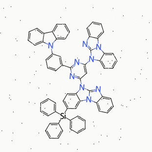 c1ccc([Si](c2ccccc2)(c2ccccc2)c2ccc3c(c2)n2c4ccccc4nc2n3-c2cc(-n3c4ccccc4n4c5ccccc5nc34)nc(-c3cccc(-n4c5ccccc5c5ccccc54)c3)n2)cc1